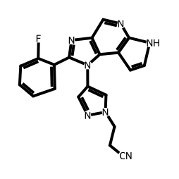 N#CCCn1cc(-n2c(-c3ccccc3F)nc3cnc4[nH]ccc4c32)cn1